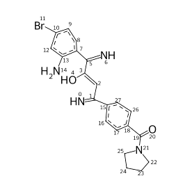 N=C(/C=C(\O)C(=N)c1ccc(Br)cc1N)c1ccc(C(=O)N2CCCC2)cc1